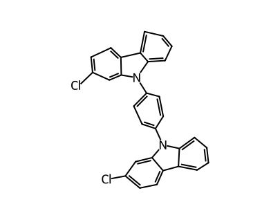 Clc1ccc2c3ccccc3n(-c3ccc(-n4c5ccccc5c5ccc(Cl)cc54)cc3)c2c1